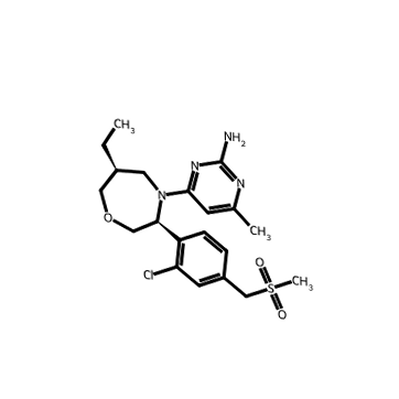 CC[C@@H]1COC[C@H](c2ccc(CS(C)(=O)=O)cc2Cl)N(c2cc(C)nc(N)n2)C1